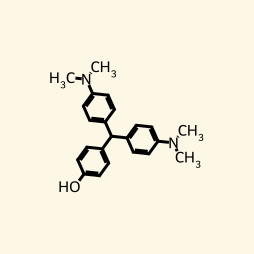 CN(C)c1ccc(C(c2ccc(O)cc2)c2ccc(N(C)C)cc2)cc1